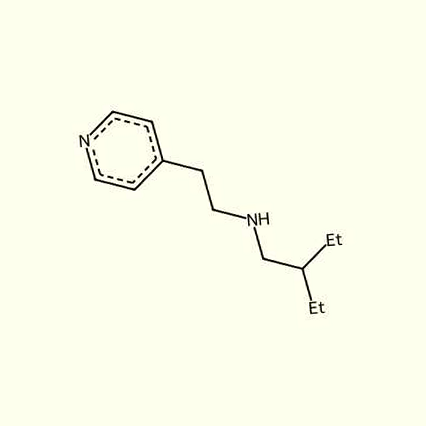 CCC(CC)CNCCc1ccncc1